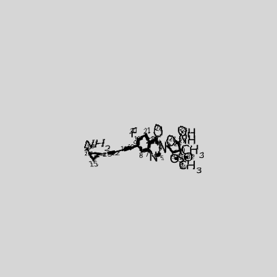 CC(CCn1cnc2cc(C#CC#C[C@@H]3C[C@H]3CN)c(F)cc2c1=O)(C(=O)NO)S(C)(=O)=O